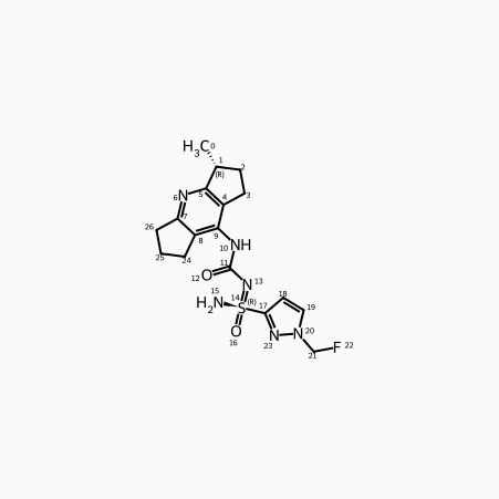 C[C@@H]1CCc2c1nc1c(c2NC(=O)N=[S@@](N)(=O)c2ccn(CF)n2)CCC1